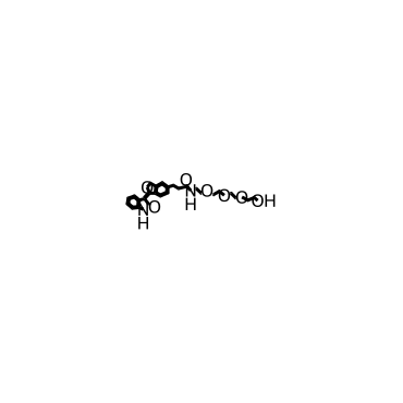 O=C(CCc1ccc2c(c1)COC2=C1C(=O)Nc2ccccc21)NCCOCCOCCOCCO